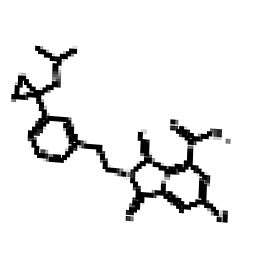 CN(C)CC1(c2cccc(CCN3C(=O)c4cc(Cl)cc(C(N)=O)c4C3=O)c2)CC1